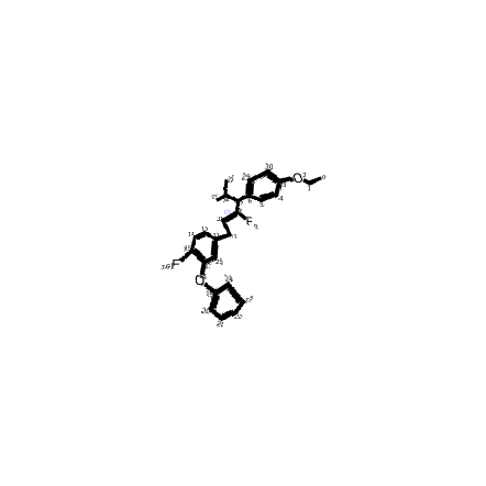 CCOc1ccc(C(/C(F)=C/Cc2ccc(F)c(Oc3ccccc3)c2)C(C)C)cc1